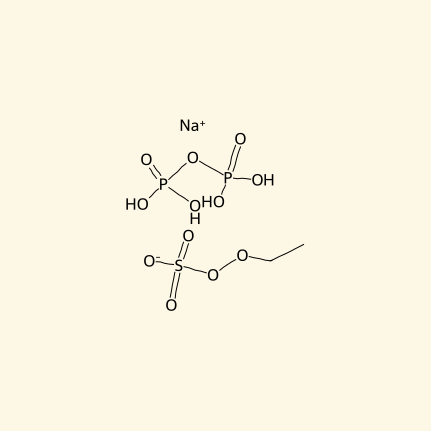 CCOOS(=O)(=O)[O-].O=P(O)(O)OP(=O)(O)O.[Na+]